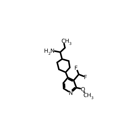 CCC(N)C1CCC(c2ccnc(OC)c2C(F)F)CC1